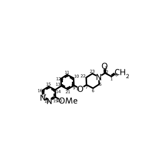 C=CC(=O)N1CCC(Oc2cccc(-c3ccnnc3OC)c2)CC1